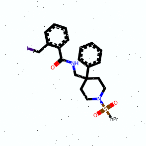 CCCS(=O)(=O)N1CCC(CNC(=O)c2ccccc2CI)(c2ccccc2)CC1